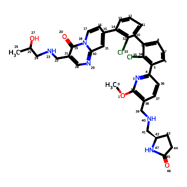 COc1nc(-c2cccc(-c3cccc(-c4ccn5c(=O)c(CNCC(C)O)cnc5c4)c3Cl)c2Cl)ccc1CNC[C@H]1CCC(=O)N1